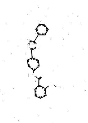 CC(C)(C)Oc1ccccc1C(=O)Nc1ccc(-c2nnc(-c3ccccc3)o2)cc1